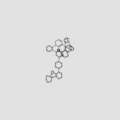 C1=CC2=C(Oc3ccccc3C23c2ccccc2-c2ccccc23)C(c2ccccc2-c2cc(-c3ccc(-c4cccc5c4oc4ccccc45)cc3)nc(-c3ccccc3)n2)C1